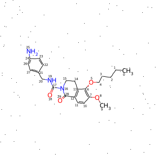 CCCCCOc1c(OC)ccc2c1CCN(C(=O)NCc1ccc(N)cc1)C2=O